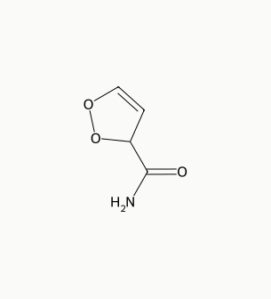 NC(=O)C1C=COO1